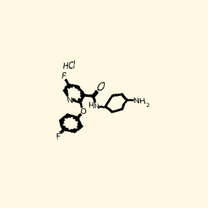 Cl.NC1CCC(NC(=O)c2cc(F)cnc2Oc2ccc(F)cc2)CC1